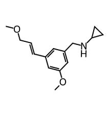 COCC=Cc1cc(CNC2CC2)cc(OC)c1